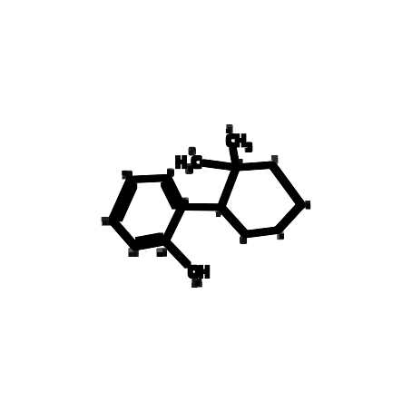 CC1(C)CCCCC1c1ccccc1O